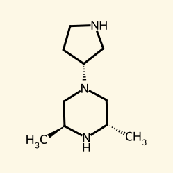 C[C@H]1CN([C@@H]2CCNC2)C[C@H](C)N1